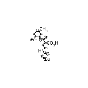 CC(C)[C@@H]1CC[C@@H](C)C[C@H]1OC(=O)C(CCNC(=O)OC(C)(C)C)C(=O)O